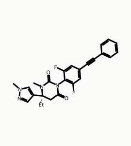 CC[C@@]1(c2cnn(C)c2)CC(=O)N(c2c(F)cc(C#Cc3ccccc3)cc2F)C(=O)N1C